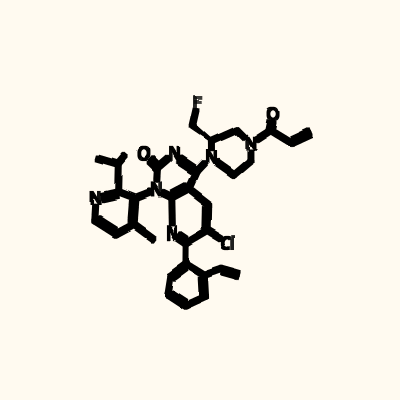 C=CC(=O)N1CCN(c2nc(=O)n(-c3c(C)ccnc3C(C)C)c3nc(-c4ccccc4C=C)c(Cl)cc23)[C@@H](CF)C1